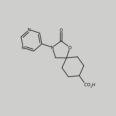 O=C(O)C1CCC2(CC1)CN(c1cncnc1)C(=O)O2